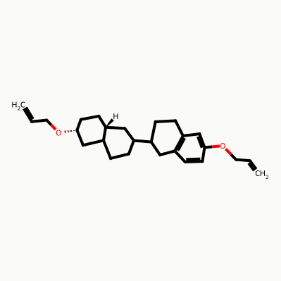 C=CCOc1ccc2c(c1)CCC(C1CCC3C[C@H](OCC=C)CC[C@@H]3C1)C2